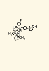 CN1C(=O)c2c(nn(Cc3ccc(-c4cccc(O)n4)cc3)c2Nc2ccc(F)cc2)N2CC(C)(C)N=C12